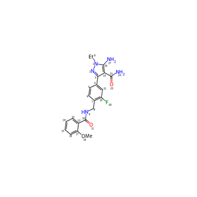 CCn1nc(-c2ccc(CNC(=O)c3ccccc3OC)c(F)c2)c(C(N)=O)c1N